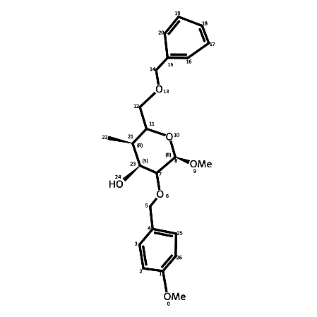 COc1ccc(COC2[C@H](OC)OC(COCc3ccccc3)[C@H](C)[C@@H]2O)cc1